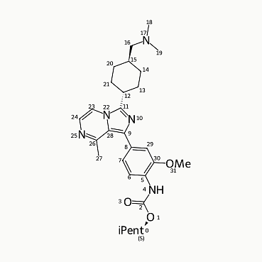 CCC[C@H](C)OC(=O)Nc1ccc(-c2nc([C@H]3CC[C@H](CN(C)C)CC3)n3ccnc(C)c23)cc1OC